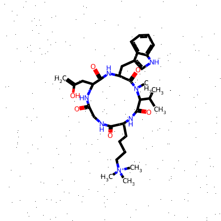 C=C(O)CC1NC(=O)CNC(=O)C(CCCC[N+](C)(C)C)NC(=O)C(C(C)C)N(C)C(=O)C(Cc2c[nH]c3ccccc23)NC1=O